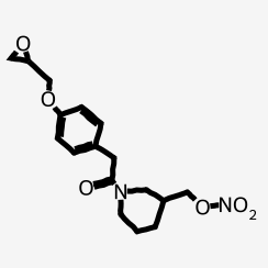 O=C(Cc1ccc(OCC2CO2)cc1)N1CCCC(CO[N+](=O)[O-])C1